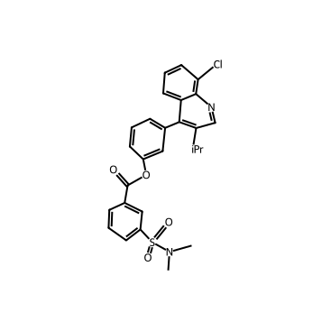 CC(C)c1cnc2c(Cl)cccc2c1-c1cccc(OC(=O)c2cccc(S(=O)(=O)N(C)C)c2)c1